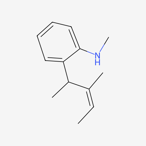 C/C=C(/C)C(C)c1ccccc1NC